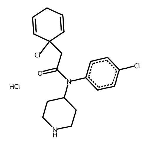 Cl.O=C(CC1(Cl)C=CCC=C1)N(c1ccc(Cl)cc1)C1CCNCC1